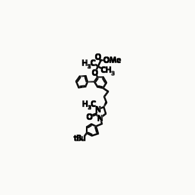 COC(=O)C(C)(C)Oc1ccc(CCC[C@H]2CN(Cc3ccc(C(C)(C)C)cc3)C(=O)N2C)cc1-c1ccccc1